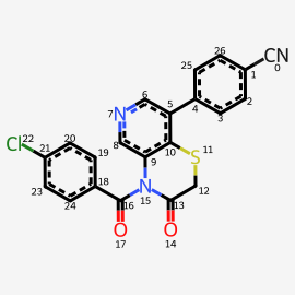 N#Cc1ccc(-c2cncc3c2SCC(=O)N3C(=O)c2ccc(Cl)cc2)cc1